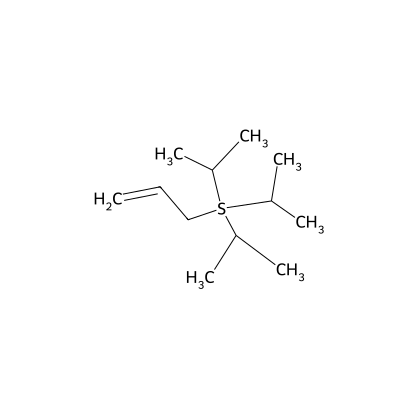 C=CCS(C(C)C)(C(C)C)C(C)C